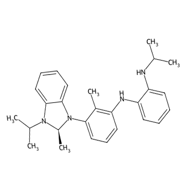 Cc1c(Nc2ccccc2NC(C)C)cccc1N1c2ccccc2N(C(C)C)[C@@H]1C